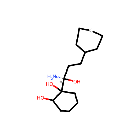 N[C@@](O)(CCC1CCCCC1)C1(O)CCCCC1O